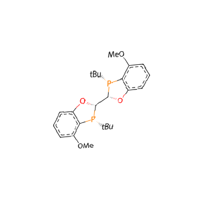 COc1cccc2c1[P@@](C(C)(C)C)[C@@H]([C@H]1Oc3cccc(OC)c3[P@@]1C(C)(C)C)O2